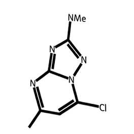 CNc1nc2nc(C)cc(Cl)n2n1